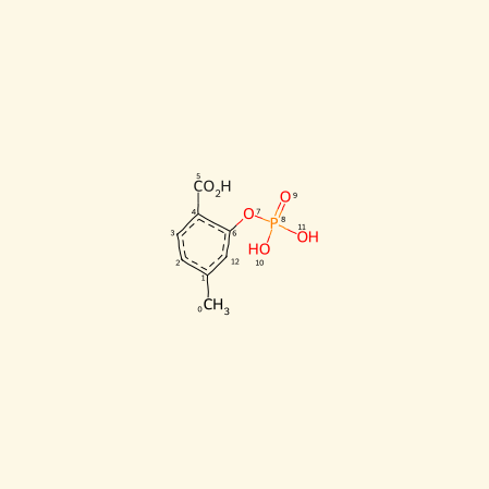 Cc1ccc(C(=O)O)c(OP(=O)(O)O)c1